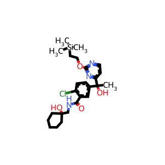 CC(O)(c1ccc(Cl)c(C(=O)NCC2(O)CCCCC2)c1)c1ccnc(OCC[Si](C)(C)C)n1